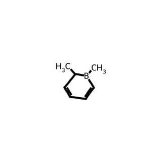 CB1C=CC=CC1C